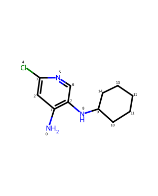 Nc1cc(Cl)ncc1NC1CCCCC1